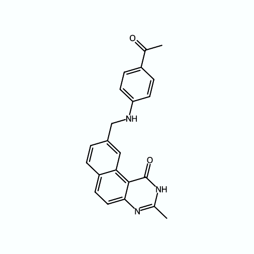 CC(=O)c1ccc(NCc2ccc3ccc4nc(C)[nH]c(=O)c4c3c2)cc1